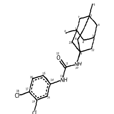 CC12CC3CC(C)(C1)CC(NC(=O)Nc1ccc(Cl)c(Cl)c1)(C3)C2